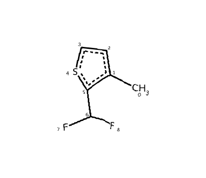 Cc1ccsc1C(F)F